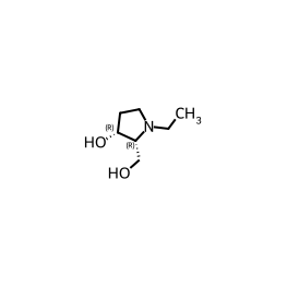 CCN1CC[C@@H](O)[C@H]1CO